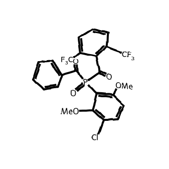 COc1ccc(Cl)c(OC)c1P(=O)(C(=O)c1ccccc1)C(=O)c1c(C(F)(F)F)cccc1C(F)(F)F